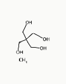 C.OCC(CO)(CO)CO